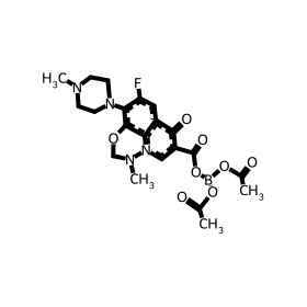 CC(=O)OB(OC(C)=O)OC(=O)c1cn2c3c(c(N4CCN(C)CC4)c(F)cc3c1=O)OCN2C